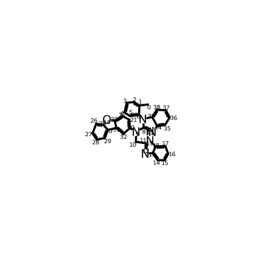 Cc1ccccc1-n1c(N(Cc2nc3ccccc3[nH]2)c2ccc3oc4ccccc4c3c2)nc2ccccc21